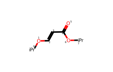 CC(C)OC=CC(=O)OC(C)C